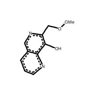 COOCc1ncc2cccnc2c1O